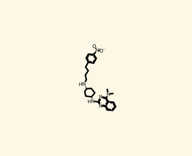 CN(C)c1nc(N[C@H]2CC[C@@H](NCCCCc3ccc([N+](=O)[O-])cc3)CC2)nc2ccccc12